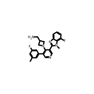 Cc1cc(F)cc(-c2cncc(-c3nc4cccc(F)c4n3C)c2N2CC(CN)C2)c1